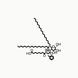 CCCCCCCCCCCCCCCCCCN(C(=O)CCCCCCCCCCCCCCCCC)[C@@H]1O[C@H](CO)[C@@H](O)[C@H](O)[C@@H]1NC(=O)[C@H](Cc1ccccc1)NC(=O)CCCCCCC(=O)O